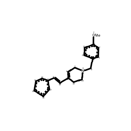 COc1ccc(CN2CC=C(C=Cc3ccccc3)CC2)cc1